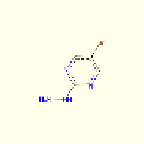 NNc1ncc(Br)cn1